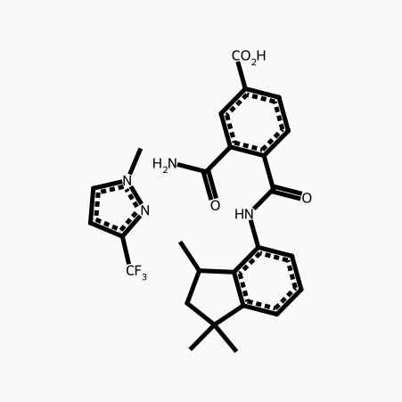 CC1CC(C)(C)c2cccc(NC(=O)c3ccc(C(=O)O)cc3C(N)=O)c21.Cn1ccc(C(F)(F)F)n1